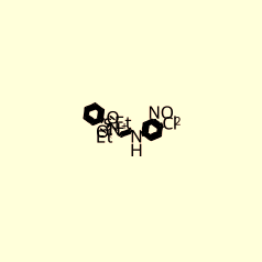 CC[N+](CC)(CCNc1ccc(Cl)c([N+](=O)[O-])c1)S(=O)(=O)c1ccccc1